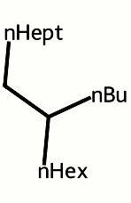 [CH2]CCCCCC(CCCC)CCCCCCCC